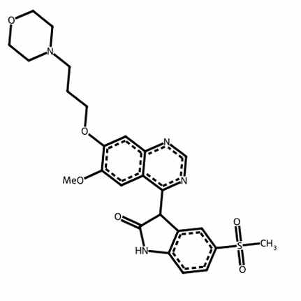 COc1cc2c(C3C(=O)Nc4ccc(S(C)(=O)=O)cc43)ncnc2cc1OCCCN1CCOCC1